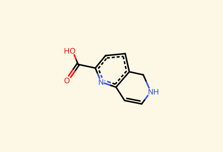 O=C(O)c1ccc2c(n1)C=CNC2